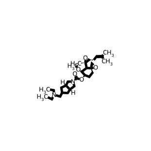 CCN(CC)CC1C[C@@H]2CN(C(=O)O[C@@H]3CC[C@]4(CO4)C([C@@]4(C)O[C@@H]4CC=C(C)C)[C@@H]3OC)C[C@@H]2C1